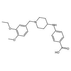 CCOc1cc(CN2CCC(Nc3ccc(C(=O)O)cc3)CC2)ccc1OC